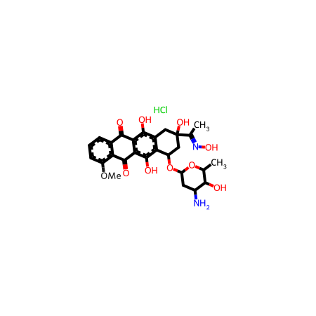 COc1cccc2c1C(=O)c1c(O)c3c(c(O)c1C2=O)CC(O)(C(C)=NO)CC3OC1CC(N)C(O)C(C)O1.Cl